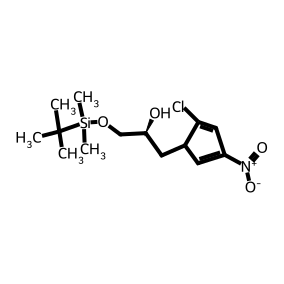 CC(C)(C)[Si](C)(C)OC[C@@H](O)CC1C=C([N+](=O)[O-])C=C1Cl